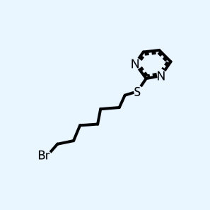 BrCCCCCCCSc1ncccn1